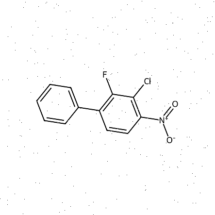 O=[N+]([O-])c1ccc(-c2ccccc2)c(F)c1Cl